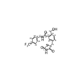 O=C1NC(=O)C(Cc2ccc(CO)c(C(=O)NCc3ccc(C(F)(F)F)cc3)c2)S1